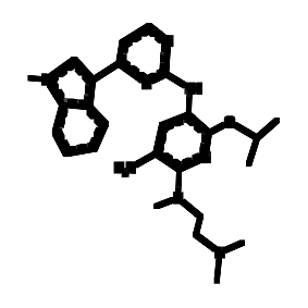 CC(C)Oc1nc(N(C)CCN(C)C)c(N)cc1Nc1nccc(-c2cn(C)c3ccccc23)n1